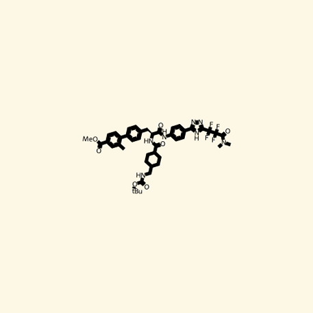 COC(=O)c1ccc(-c2ccc(C[C@H](NC(=O)C3CCC(CNC(=O)OC(C)(C)C)CC3)C(=O)Nc3ccc(-c4nnc(C(F)(F)C(F)(F)C(=O)N(C)C)[nH]4)cc3)cc2)c(C)c1